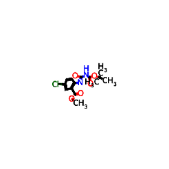 COC(=O)c1cc(Cl)cc2oc(NC(=O)OC(C)(C)C)nc12